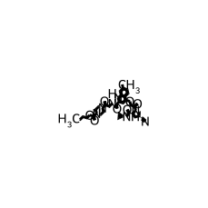 CCCCOC(=O)N1CCN(C(=O)CNC(=O)c2cc(OCC(=O)N3C[C@H](C#N)C[C@H]3C(=O)NC3CC3)c3ccc(C)cc3n2)CC1